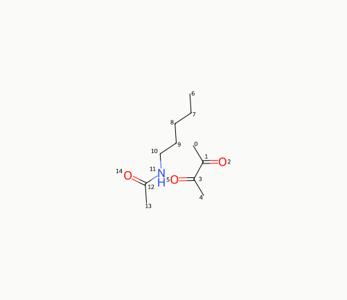 CC(=O)C(C)=O.CCCCCNC(C)=O